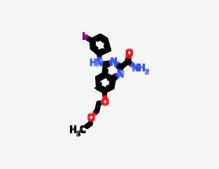 CCOCCOc1[c]cc2c(Nc3cccc(I)c3)nc(C(N)=O)nc2c1